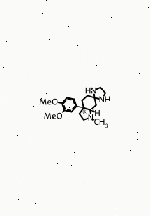 COc1ccc([C@]23CCN(C)[C@H]2CC2(CC3)NCCN2)cc1OC